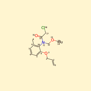 C=CCOc1cccc(C)c1N(COC(C)CC)C(=O)CCl